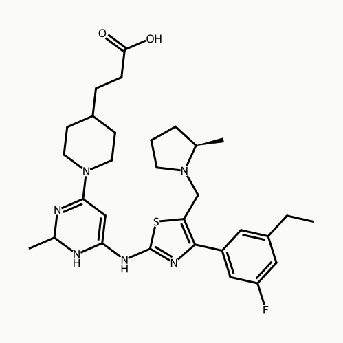 CCc1cc(F)cc(-c2nc(NC3=CC(N4CCC(CCC(=O)O)CC4)=NC(C)N3)sc2CN2CCC[C@H]2C)c1